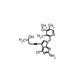 COc1c(C)cnc(Cn2cc(C#CCC(C)O)c3c(Cl)nc(N)nc32)c1C